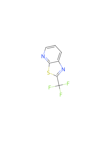 FC(F)(F)c1nc2cccnc2s1